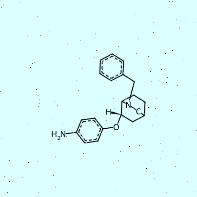 Nc1ccc(O[C@H]2CC3CCC2N(Cc2ccccc2)C3)cc1